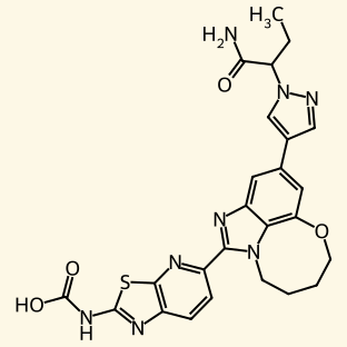 CCC(C(N)=O)n1cc(-c2cc3c4c(c2)nc(-c2ccc5nc(NC(=O)O)sc5n2)n4CCCCO3)cn1